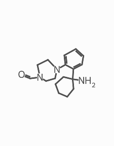 NC1(c2ccccc2N2CCN(C=O)CC2)CCCCC1